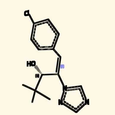 CC(C)(C)[C@H](O)/C(=C\c1ccc(Cl)cc1)n1cncn1